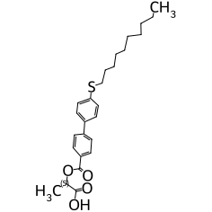 CCCCCCCCCCSc1ccc(-c2ccc(C(=O)O[C@@H](C)C(=O)O)cc2)cc1